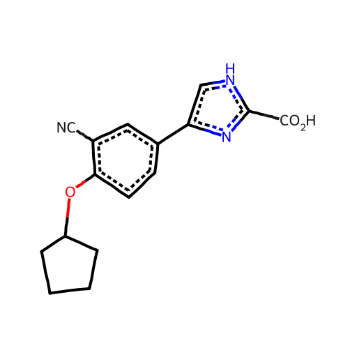 N#Cc1cc(-c2c[nH]c(C(=O)O)n2)ccc1OC1CCCC1